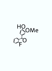 COc1cc(C(=O)c2ccccc2F)ccc1O